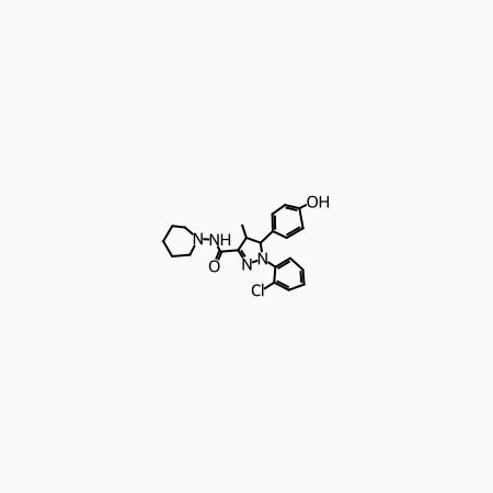 CC1C(C(=O)NN2CCCCC2)=NN(c2ccccc2Cl)C1c1ccc(O)cc1